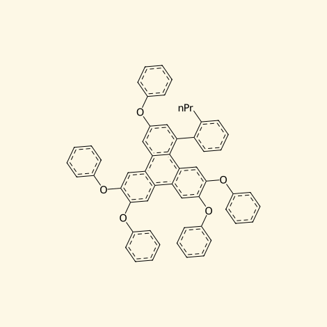 CCCc1ccccc1-c1cc(Oc2ccccc2)cc2c3cc(Oc4ccccc4)c(Oc4ccccc4)cc3c3cc(Oc4ccccc4)c(Oc4ccccc4)cc3c12